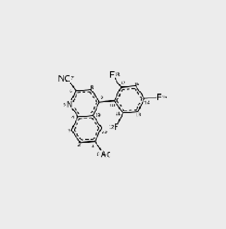 CC(=O)c1ccc2nc(C#N)cc(-c3c(F)cc(F)cc3F)c2c1